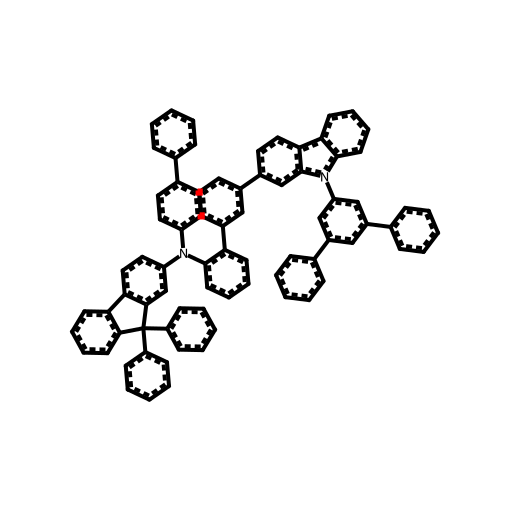 c1ccc(-c2ccc(N(c3ccc4c(c3)C(c3ccccc3)(c3ccccc3)c3ccccc3-4)c3ccccc3-c3cccc(-c4ccc5c6ccccc6n(-c6cc(-c7ccccc7)cc(-c7ccccc7)c6)c5c4)c3)cc2)cc1